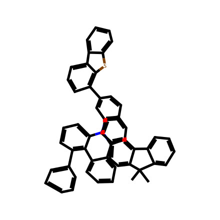 CC1(C)c2ccccc2-c2cc(N(c3cccc(-c4cccc5c4sc4ccccc45)c3)c3cccc(-c4ccccc4)c3-c3ccccc3-c3ccccc3)ccc21